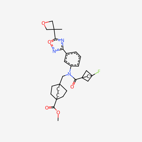 COC(=O)C12CCC(CN(C(=O)C34CC(F)(C3)C4)c3cccc(-c4noc(C5(C)COC5)n4)c3)(CC1)CC2